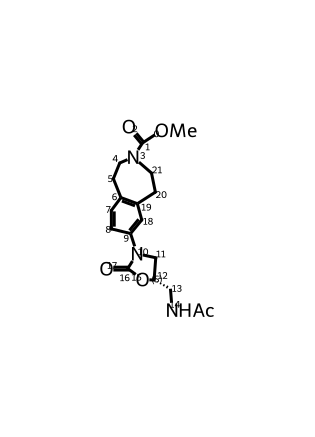 COC(=O)N1CCc2ccc(N3C[C@H](CNC(C)=O)OC3=O)cc2CC1